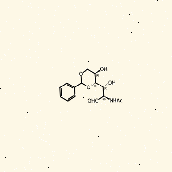 CC(=O)N[C@@H](C=O)[C@@H](O)[C@@H]1OC(c2ccccc2)OC[C@H]1O